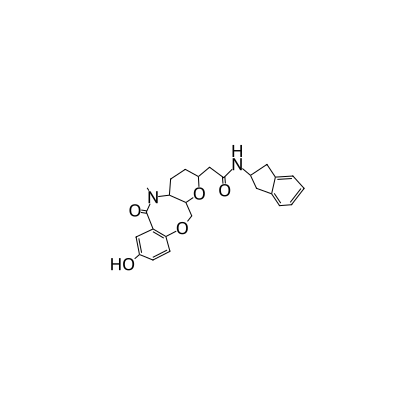 CN1C(=O)c2cc(O)ccc2OCC2OC(CC(=O)NC3Cc4ccccc4C3)CCC21